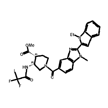 CCn1c(-c2nc3cc(C(=O)N4CC[C@@H](C(=O)OC)[C@@H](NC(=O)C(F)(F)I)C4)ccc3n2C)cc2ccccc21